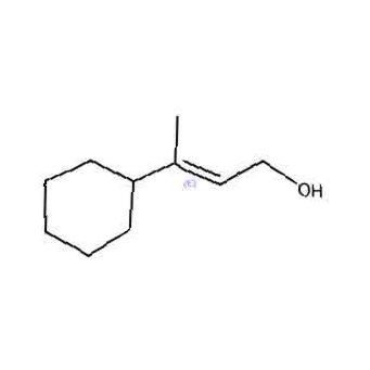 C/C(=C\CO)C1CCCCC1